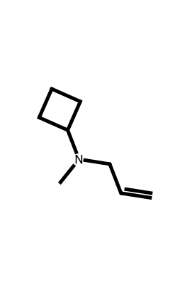 C=CCN(C)C1CCC1